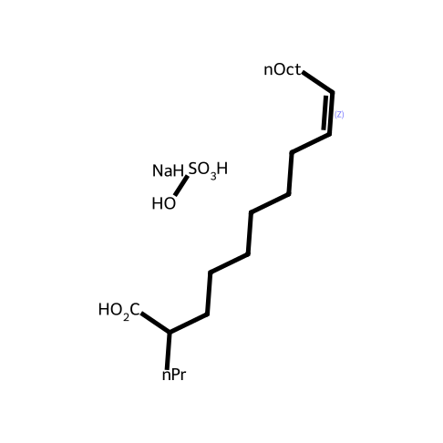 CCCCCCCC/C=C\CCCCCCC(CCC)C(=O)O.O=S(=O)(O)O.[NaH]